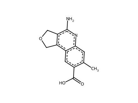 Cc1cc2nc(N)c3c(c2cc1C(=O)O)COC3